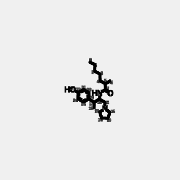 CCCCCC(C)C(=O)NC(CN1CCCC1)C(C)c1ccc(O)cc1